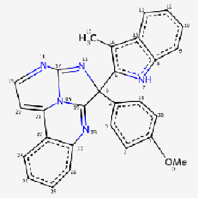 COc1ccc(C2(c3[nH]c4ccccc4c3C)N=C3N=CC=C4c5ccccc5N=C2N43)cc1